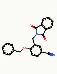 N#Cc1ccc(OCc2ccccc2)c(CN2C(=O)c3ccccc3C2=O)c1